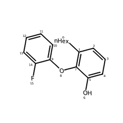 CCCCCCc1cccc(O)c1Oc1ccccc1F